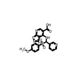 COc1ccc(S(=O)(=O)C(Nc2c(C(=O)O)cnc3snc(C)c23)c2cccnc2)cc1